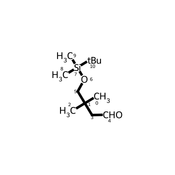 CC(C)(CC=O)CO[Si](C)(C)C(C)(C)C